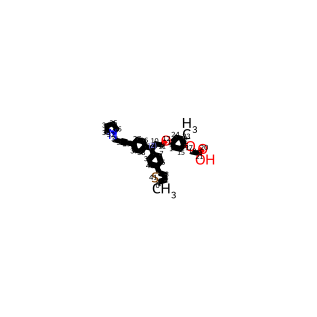 Cc1ccc(-c2ccc(/C(=C\COc3ccc(OCC(=O)O)c(C)c3)c3ccc(C#CCN4CCCC4)cc3)cc2)s1